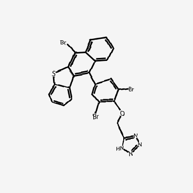 Brc1cc(-c2c3ccccc3c(Br)c3sc4ccccc4c23)cc(Br)c1OCc1nnn[nH]1